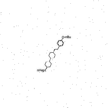 CCCCCCC[C@H]1CC[C@H]([C@H]2CC[C@H](CCc3ccc(OCCCC)cc3)CC2)CC1